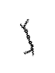 CCCCc1cc(-c2ccc(/C=C/c3ccc(/C=C/c4ccc(-c5ccc(-c6cc(CCCC)c(CCOCCOCC)s6)s5)cc4)cc3)cc2)sc1CCOCCOCC